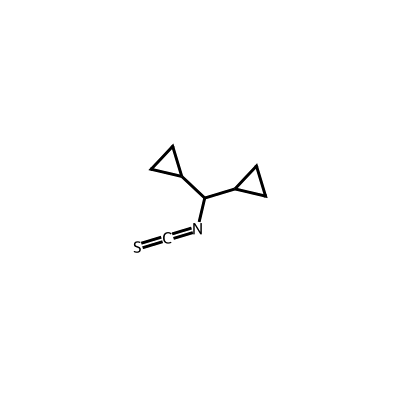 S=C=NC(C1CC1)C1CC1